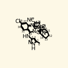 Cc1cc(Nc2nc(NC3CC4CCC(C3)N4S(=O)(=O)N3CC(C#N)C3)nc3cc(Cl)ccc23)n[nH]1